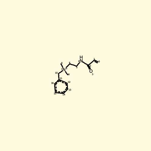 C=CC(=O)NCC[N+](C)(C)Cc1ccccc1